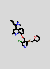 C=C/C=C(/c1cc(C)nc2c(OCc3c(Cl)cncc3SCC3CCCCO3)cccc12)N(C)C